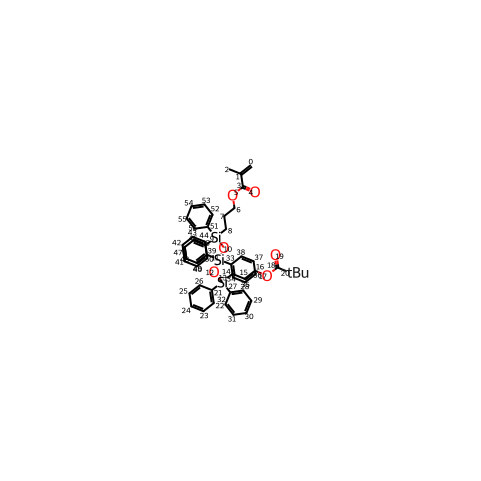 C=C(C)C(=O)OCCC[Si](O[Si](O[Si](CCCOC(=O)C(C)(C)C)(c1ccccc1)c1ccccc1)(c1ccccc1)c1ccccc1)(c1ccccc1)c1ccccc1